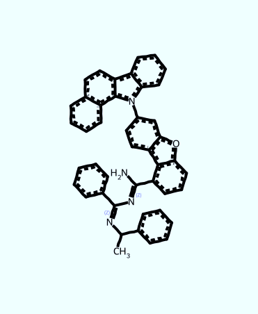 CC(/N=C(\N=C(/N)c1cccc2oc3cc(-n4c5ccccc5c5ccc6ccccc6c54)ccc3c12)c1ccccc1)c1ccccc1